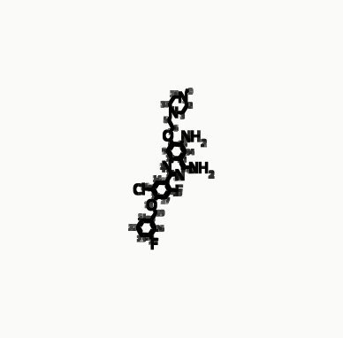 CN1CCN(CCOc2cc3nc(-c4cc(Cl)c(OCc5cccc(F)c5)cc4F)nc(N)c3cc2N)CC1